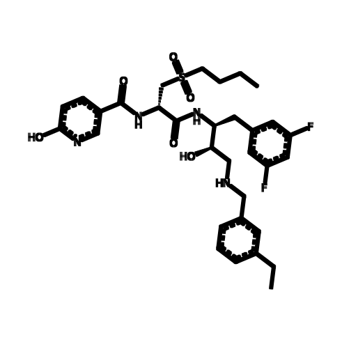 CCCCS(=O)(=O)C[C@@H](NC(=O)c1ccc(O)nc1)C(=O)N[C@@H](Cc1cc(F)cc(F)c1)[C@H](O)CNCc1cccc(CC)c1